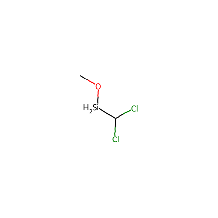 CO[SiH2]C(Cl)Cl